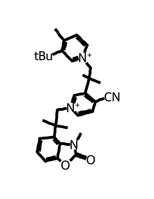 Cc1cc[n+](CC(C)(C)c2c[n+](CC(C)(C)c3cccc4oc(=O)n(C)c34)ccc2C#N)cc1C(C)(C)C